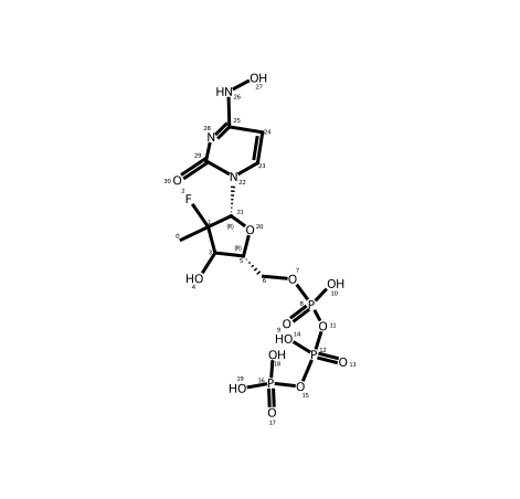 CC1(F)C(O)[C@@H](COP(=O)(O)OP(=O)(O)OP(=O)(O)O)O[C@H]1n1ccc(NO)nc1=O